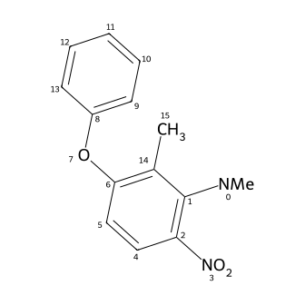 CNc1c([N+](=O)[O-])ccc(Oc2ccccc2)c1C